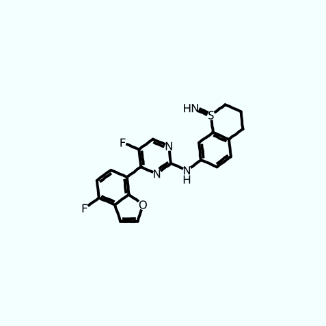 N=S1CCCc2ccc(Nc3ncc(F)c(-c4ccc(F)c5ccoc45)n3)cc21